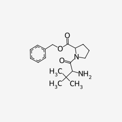 CC(C)(C)C(N)C(=O)N1CCCC1C(=O)OCc1ccccc1